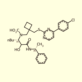 CCCC[C@@H](C(O)C(=O)N[C@H](C)c1ccccc1)N(CC1(CSc2nccc(-c3ccc(Cl)cc3)n2)CCC1)C(=O)O